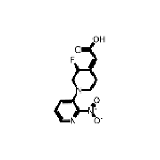 O=C(O)/C=C1/CCN(c2cccnc2[N+](=O)[O-])CC1F